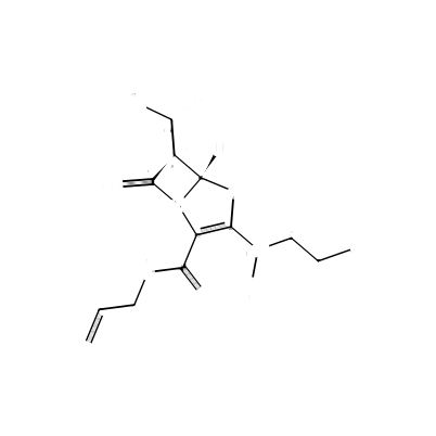 C=CCOC(=O)C1=C([S+]([O-])CCC)S[C@H]2[C@H]([C@@H](C)O)C(=O)N12